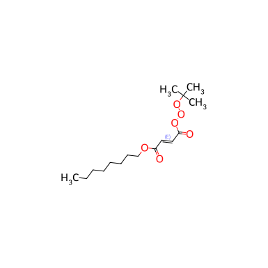 CCCCCCCCOC(=O)/C=C/C(=O)OOOC(C)(C)C